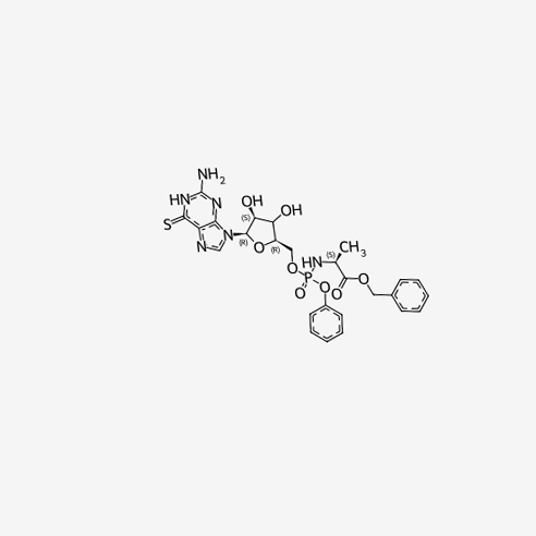 C[C@H](NP(=O)(OC[C@H]1O[C@@H](n2cnc3c(=S)[nH]c(N)nc32)[C@@H](O)C1O)Oc1ccccc1)C(=O)OCc1ccccc1